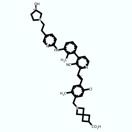 Cc1cc(/C=C/c2nccc(-c3cccc(Nc4ccc(CCN5CC[C@@H](O)C5)cn4)c3C)c2C#N)c(Cl)cc1CN1CC2(CC(C(=O)O)C2)C1